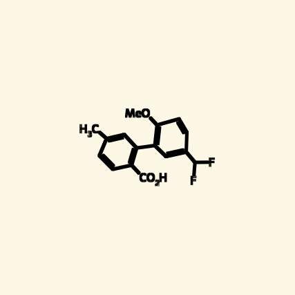 COc1ccc(C(F)F)cc1-c1cc(C)ccc1C(=O)O